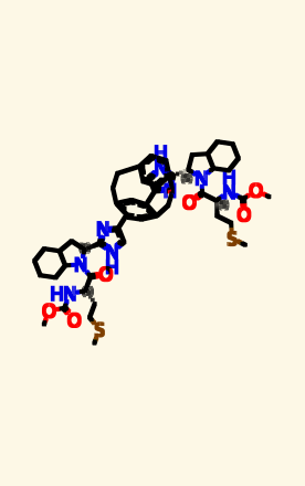 COC(=O)N[C@@H](CCSC)C(=O)N1C2CCCCC2C[C@H]1c1nc(-c2cc3c(-c4c[nH]c([C@@H]5CC6CCCCC6N5C(=O)[C@H](CCSC)NC(=O)OC)n4)cc2CCc2ccc(cc2)CC3)c[nH]1